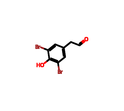 O=CCc1cc(Br)c(O)c(Br)c1